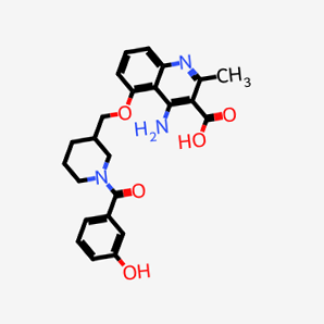 Cc1nc2cccc(OCC3CCCN(C(=O)c4cccc(O)c4)C3)c2c(N)c1C(=O)O